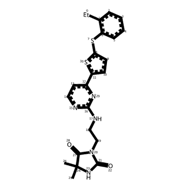 CCc1ccccc1Sc1ccc(-c2ccnc(NCCN3C(=O)NC(C)(C)C3=O)n2)s1